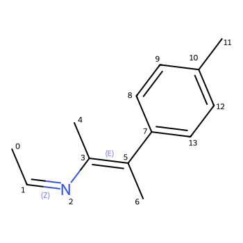 C/C=N\C(C)=C(/C)c1ccc(C)cc1